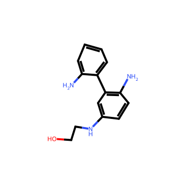 Nc1ccccc1-c1cc(NCCO)ccc1N